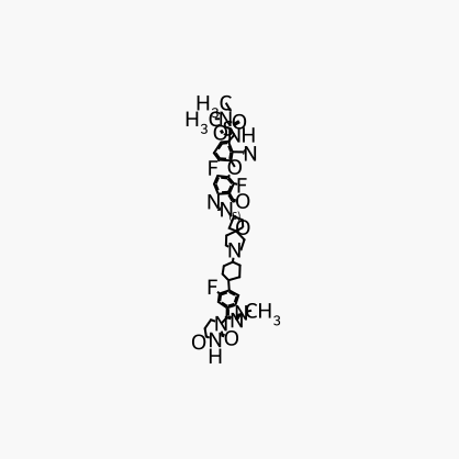 CCN(C)S(=O)(=O)Nc1ccc(F)c(Oc2ccc3ncn([C@@H]4COC5(CCN(C6CCC(c7cc8c(cc7F)c(N7CCC(=O)NC7=O)nn8C)CC6)CC5)C4)c(=O)c3c2F)c1C#N